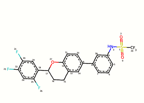 O=S(=O)(Nc1cccc(-c2ccc3c(c2)CCC(c2cc(F)c(F)cc2F)O3)c1)C(F)(F)F